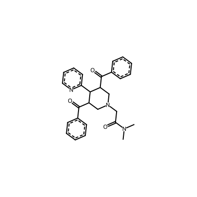 CN(C)C(=O)CN1CC(C(=O)c2ccccc2)C(c2ccccn2)C(C(=O)c2ccccc2)C1